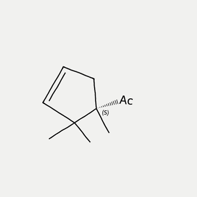 [CH2]C(=O)[C@@]1(C)CC=CC1(C)C